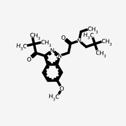 CCN(CC(C)(C)C)C(=O)Cn1nc(C(=O)C(C)(C)C)c2ccc(OC)cc21